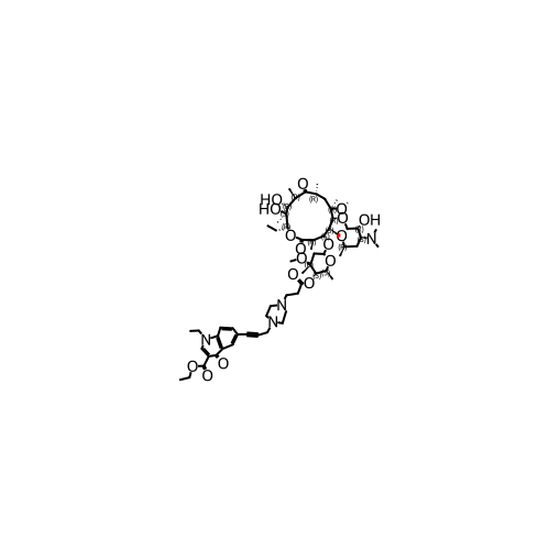 CCOC(=O)c1cn(CC)c2ccc(C#CCN3CCN(CCC(=O)O[C@H]4[C@H](C)OC(O[C@H]5[C@H](C)[C@@H](OC6O[C@H](C)C[C@H](N(C)C)[C@H]6O)[C@](C)(OC)C[C@@H](C)C(=O)[C@H](C)[C@@H](O)[C@](C)(O)[C@@H](CC)OC(=O)[C@@H]5C)C[C@@]4(C)OC)CC3)cc2c1=O